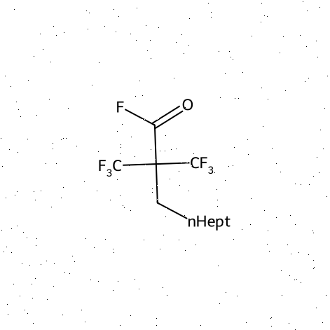 CCCCCCCCC(C(=O)F)(C(F)(F)F)C(F)(F)F